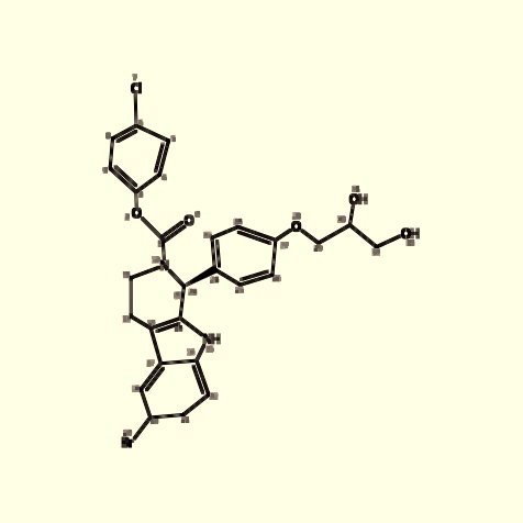 O=C(Oc1ccc(Cl)cc1)N1CCc2c([nH]c3c2=CC(Br)CC=3)[C@@H]1c1ccc(OCC(O)CO)cc1